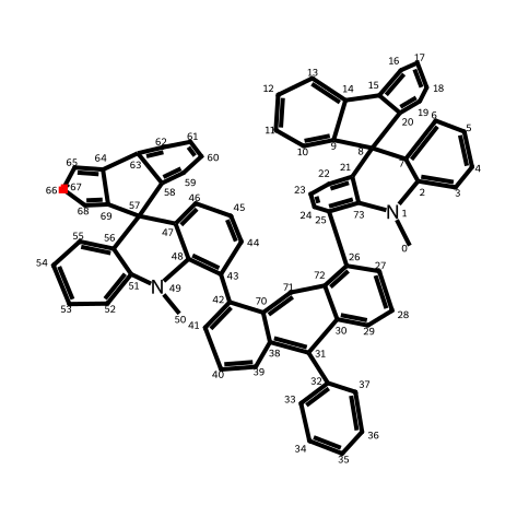 CN1c2ccccc2C2(c3ccccc3-c3ccccc32)c2cccc(-c3cccc4c(-c5ccccc5)c5cccc(-c6cccc7c6N(C)c6ccccc6C76c7ccccc7-c7ccccc76)c5cc34)c21